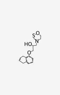 OC(COc1cccc2c1CC=CC2)CN1CCOSC1